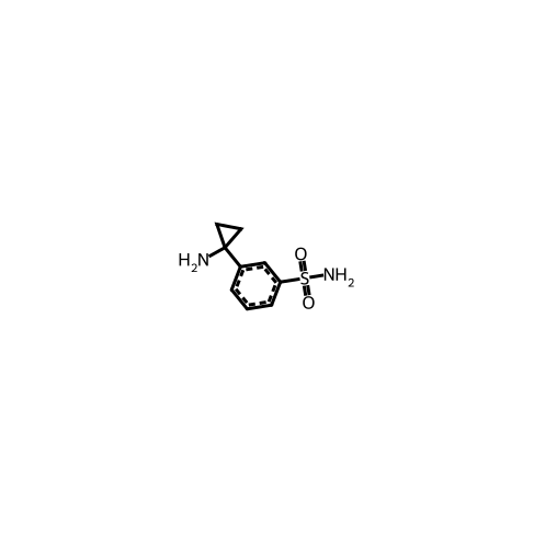 NC1(c2cccc(S(N)(=O)=O)c2)CC1